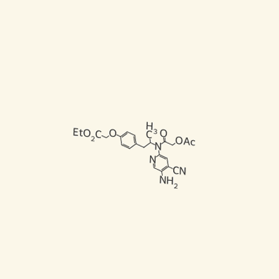 CCOC(=O)COc1ccc(CC(C)N(C(=O)COC(C)=O)c2cc(C#N)c(N)cn2)cc1